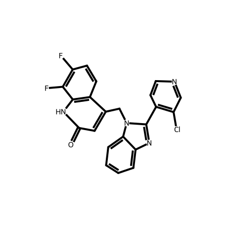 O=c1cc(Cn2c(-c3ccncc3Cl)nc3ccccc32)c2ccc(F)c(F)c2[nH]1